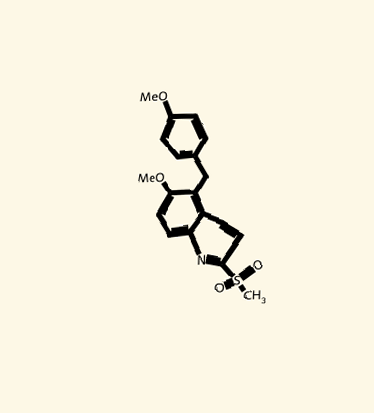 COc1ccc(Cc2c(OC)ccc3nc(S(C)(=O)=O)ccc23)cc1